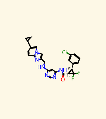 O=C(Nc1cc(NCc2cn3cc(C4CC4)ccc3n2)ncn1)[C@@H]1[C@@H](c2cccc(Cl)c2)C1(F)F